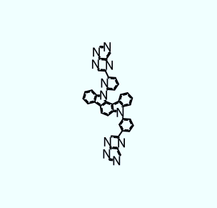 c1cc(-c2cnc3ncncc3n2)cc(-n2c3ccccc3c3c2ccc2c4ccccc4n(-c4cccc(-c5cnc6ncncc6n5)n4)c23)c1